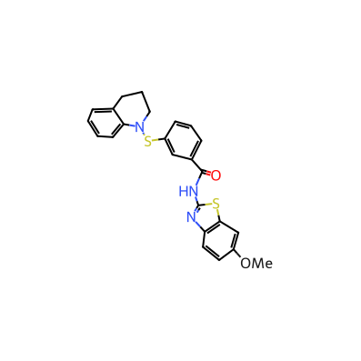 COc1ccc2nc(NC(=O)c3cccc(SN4CCCc5ccccc54)c3)sc2c1